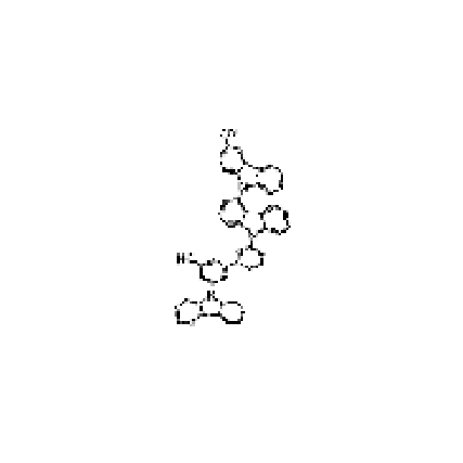 N#Cc1cc(-c2cccc(-n3c4ccccc4c4c(-n5c6ccccc6c6cc(C#N)ccc65)cccc43)c2)cc(-n2c3ccccc3c3ccccc32)c1